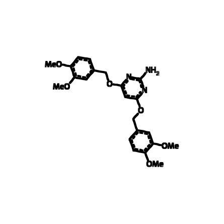 COc1ccc(COc2cc(OCc3ccc(OC)c(OC)c3)nc(N)n2)cc1OC